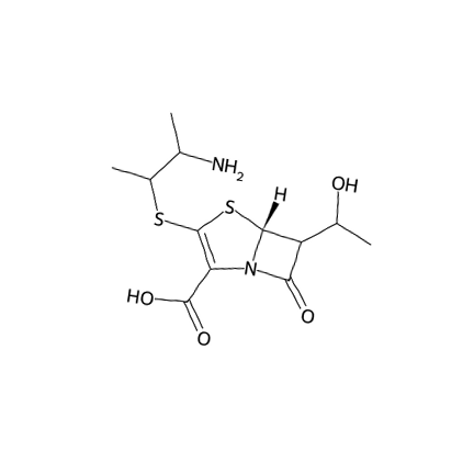 CC(N)C(C)SC1=C(C(=O)O)N2C(=O)C(C(C)O)[C@H]2S1